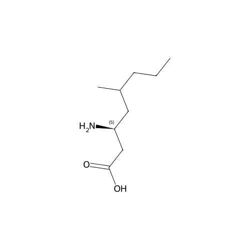 CCCC(C)C[C@H](N)CC(=O)O